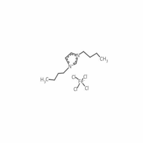 CCCCn1cc[n+](CCCC)c1.[Cl][Fe-]([Cl])([Cl])[Cl]